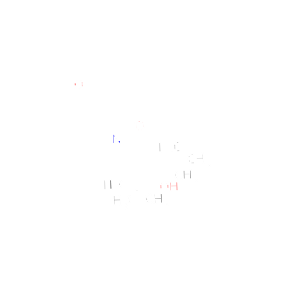 CC(C)(C)c1cc(-c2nc(CCC=O)co2)cc(C(C)(C)C)c1O